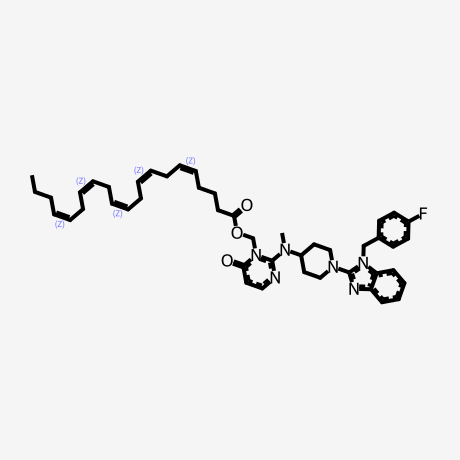 CCC/C=C\C/C=C\C/C=C\C/C=C\C/C=C\CCCC(=O)OCn1c(N(C)C2CCN(c3nc4ccccc4n3Cc3ccc(F)cc3)CC2)nccc1=O